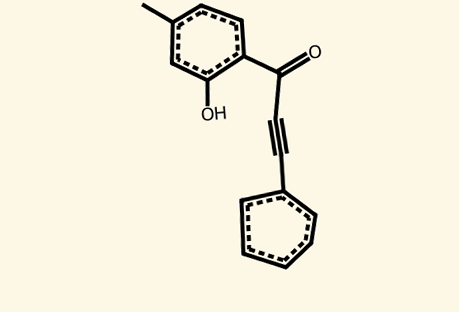 Cc1ccc(C(=O)C#Cc2ccccc2)c(O)c1